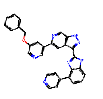 c1ccc(COc2cncc(-c3cc4c(-c5nc6c(-c7ccncc7)cccc6[nH]5)n[nH]c4cn3)c2)cc1